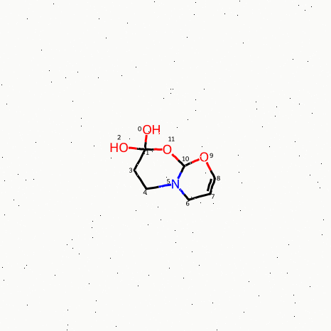 OC1(O)CCN2CC=COC2O1